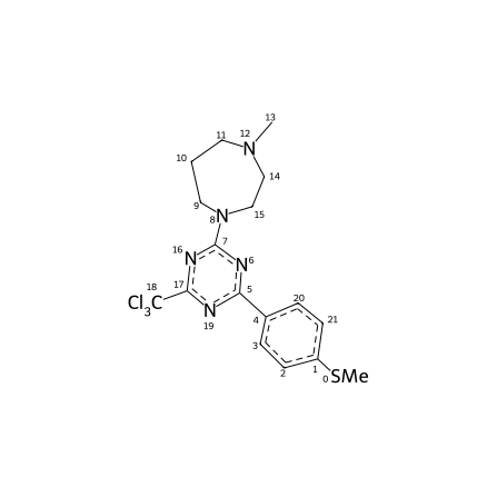 CSc1ccc(-c2nc(N3CCCN(C)CC3)nc(C(Cl)(Cl)Cl)n2)cc1